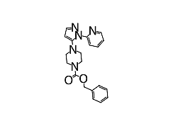 O=C(OCc1ccccc1)N1CCN(c2ccnn2-c2ccccn2)CC1